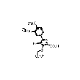 COc1ccc(-c2sc(C(=O)O)c(OCC(=O)O)c2Br)cc1C=O